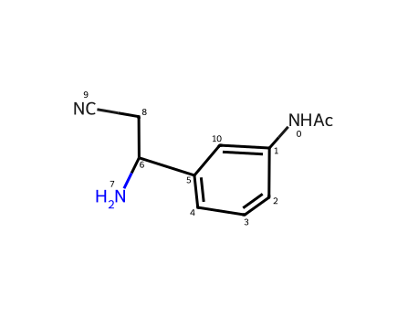 CC(=O)Nc1cccc(C(N)CC#N)c1